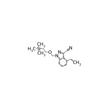 C=Cc1cccc2c1c(C#N)nn2COCC[Si](C)(C)C